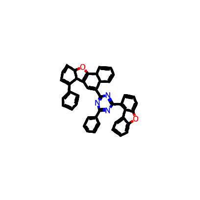 C1=CC2OC3=C(C=C(c4nc(-c5ccccc5)nc(-c5cccc6oc7ccccc7c56)n4)C4C=CC=CC34)C2C(c2ccccc2)=C1